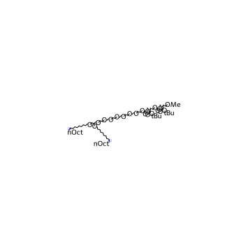 CCCCCCCC/C=C\CCCCCCCCOCC(COCCOCCOCCOCCOCCOCCOCCOC(=O)CN(CCOC(=O)CN(CCOC)C(=O)OC(C)(C)C)C(=O)OC(C)(C)C)OCCCCCCCC/C=C\CCCCCCCC